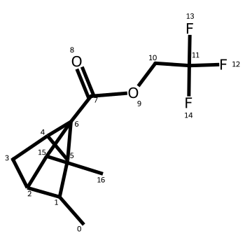 CC1C2CC3C1C3(C(=O)OCC(F)(F)F)C2C